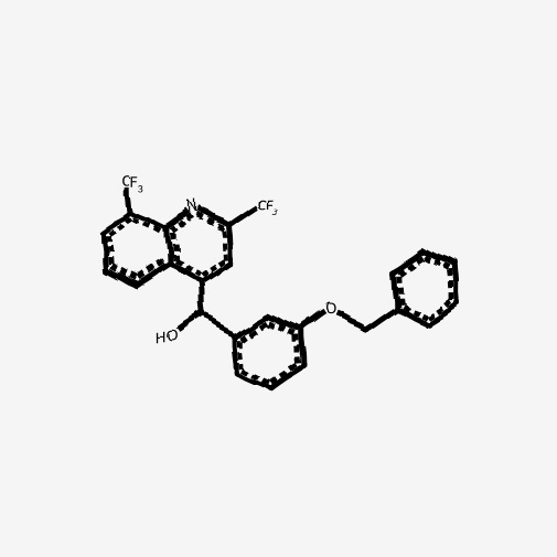 OC(c1cccc(OCc2ccccc2)c1)c1cc(C(F)(F)F)nc2c(C(F)(F)F)cccc12